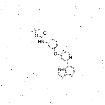 CC(C)(C)OC(=O)Nc1cccc(Oc2cc(-c3ccnc4ncnn34)ncn2)c1